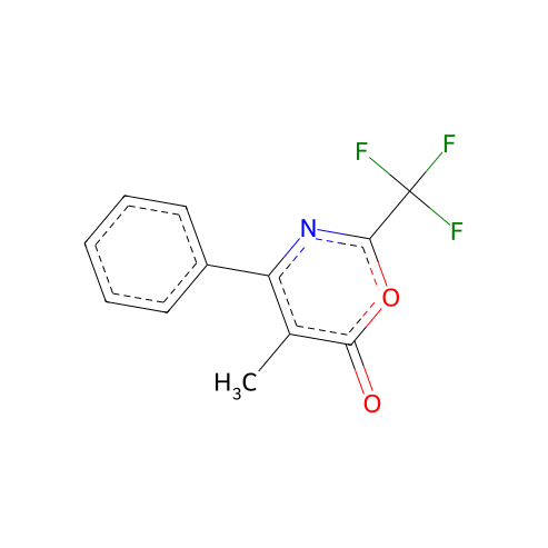 Cc1c(-c2ccccc2)nc(C(F)(F)F)oc1=O